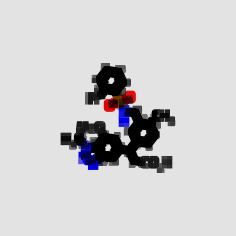 COc1cc(C(CC(=O)O)c2ccc(C)c(CNS(=O)(=O)c3ccccc3C(C)C)c2)cc2nnn(C)c12